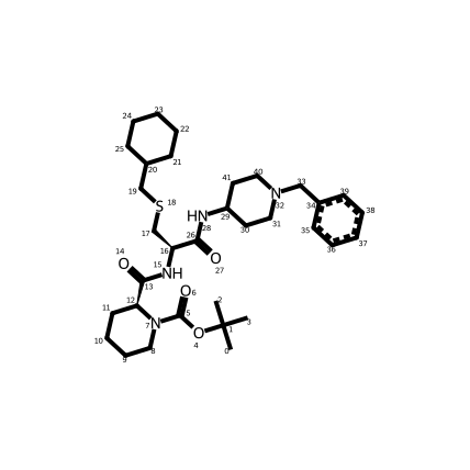 CC(C)(C)OC(=O)N1CCCC[C@H]1C(=O)N[C@@H](CSCC1CCCCC1)C(=O)NC1CCN(Cc2ccccc2)CC1